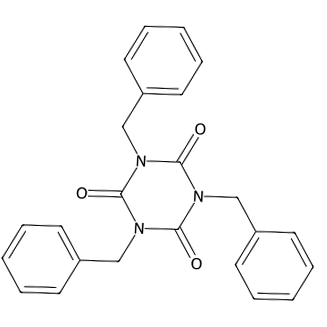 O=c1n(Cc2ccccc2)c(=O)n(Cc2ccccc2)c(=O)n1Cc1ccccc1